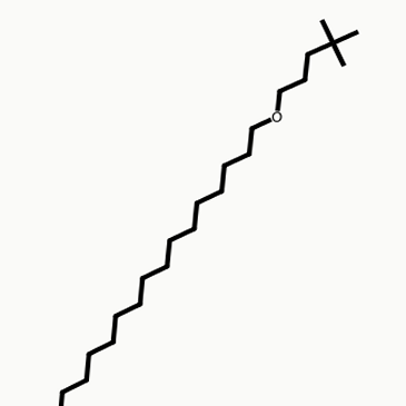 CCCCCCCCCCCCCCCCOCCCC(C)(C)C